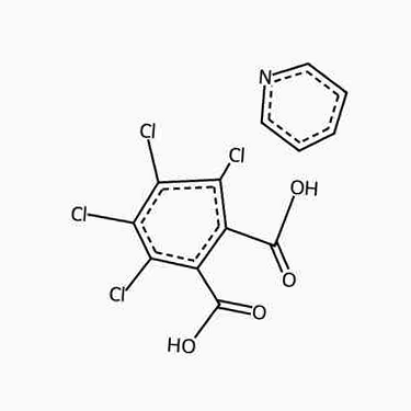 O=C(O)c1c(Cl)c(Cl)c(Cl)c(Cl)c1C(=O)O.c1ccncc1